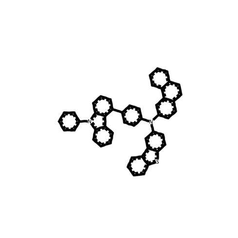 c1ccc(-n2c3ccccc3c3c(-c4ccc(N(c5ccc6ccc7ccccc7c6c5)c5ccc6sc7ccccc7c6c5)cc4)cccc32)cc1